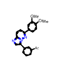 COc1ccc(-c2ccc3ncc(-c4cccc(C(C)=O)c4)n3n2)cc1OC